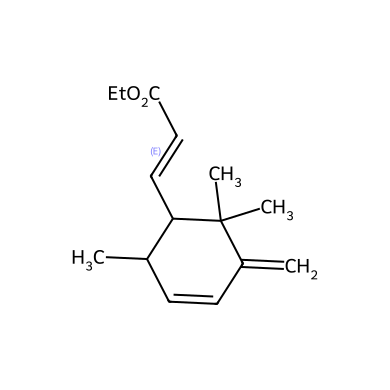 C=C1C=CC(C)C(/C=C/C(=O)OCC)C1(C)C